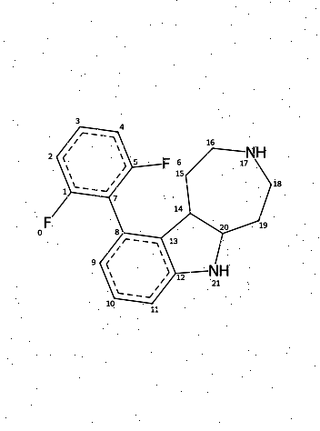 Fc1cccc(F)c1-c1cccc2c1C1CCNCCC1N2